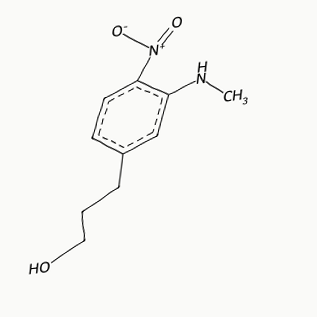 CNc1cc(CCCO)ccc1[N+](=O)[O-]